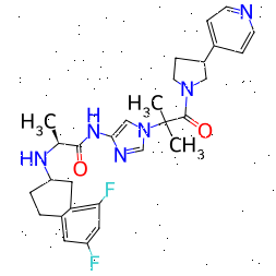 C[C@H](NC1CCc2cc(F)cc(F)c2C1)C(=O)Nc1cn(C(C)(C)C(=O)N2CCC(c3ccncc3)C2)cn1